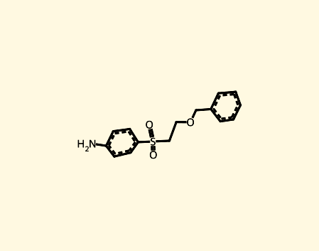 Nc1ccc(S(=O)(=O)CCOCc2ccccc2)cc1